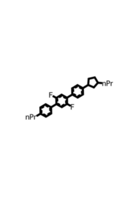 CCCc1ccc(-c2cc(F)c(-c3ccc(C4CCC(CCC)C4)cc3)cc2F)cc1